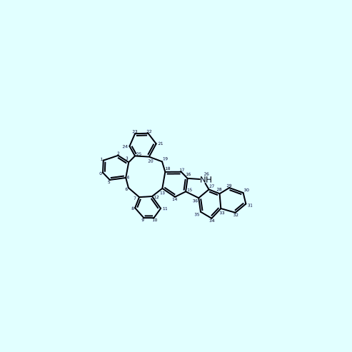 c1ccc2c(c1)Cc1ccccc1-c1cc3c(cc1Cc1ccccc1-2)[nH]c1c2ccccc2ccc31